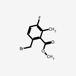 COC(=O)c1c(CBr)ccc(F)c1C